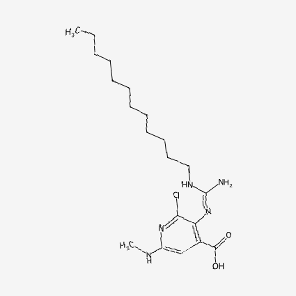 CCCCCCCCCCCCNC(N)=Nc1c(C(=O)O)cc(NC)nc1Cl